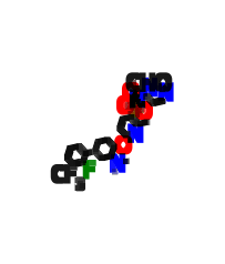 Cc1nc(O[C@H]2CC[C@H](c3cccc(C(F)(F)F)c3F)C[C@@H]2N(C)C)ccc1S(=O)(=O)N(OC=O)c1ccncn1